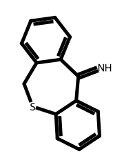 N=C1c2ccccc2CSc2ccccc21